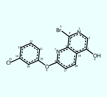 Oc1cnc(Br)c2nc(Oc3cccc(Cl)c3)ccc12